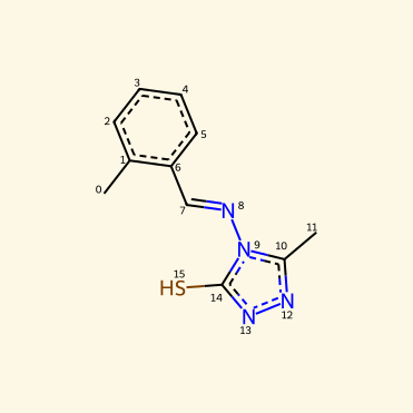 Cc1ccccc1C=Nn1c(C)nnc1S